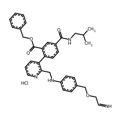 CC(C)CNC(=O)c1ccc(-c2cccnc2CNc2ccc(COCC=N)cc2)c(C(=O)OCc2ccccc2)c1.Cl